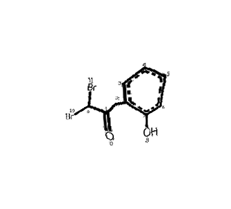 O=C(c1ccccc1O)C(Br)Br